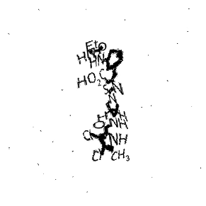 CCNC(=O)Nc1cccc(Cc2nc(N3C[C@@H]4C(NC(=O)c5[nH]c(C)c(Cl)c5Cl)[C@@H]4C3)sc2C(=O)O)c1